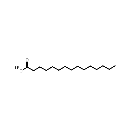 CCCCCCCCCCCCCCC(=O)[O-].[Li+]